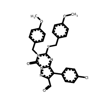 COc1ccc(CSc2nc3c(-c4ccc(Cl)cc4)c(C=O)nn3c(=O)n2Cc2ccc(OC)cc2)cc1